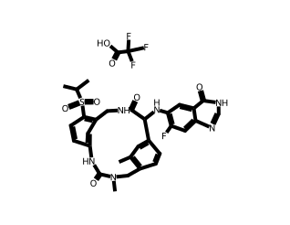 Cc1cc2ccc1CN(C)C(=O)Nc1ccc(S(=O)(=O)C(C)C)c(c1)CNC(=O)C2Nc1cc2c(=O)[nH]cnc2cc1F.O=C(O)C(F)(F)F